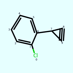 Clc1ccccc1C1C#C1